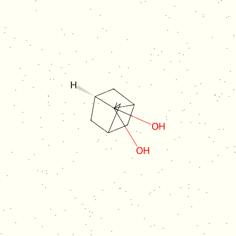 OC1(O)C=C2C3CC1C[C@@H]2C3